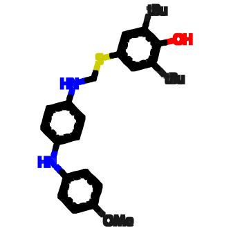 COc1ccc(Nc2ccc(NCSc3cc(C(C)(C)C)c(O)c(C(C)(C)C)c3)cc2)cc1